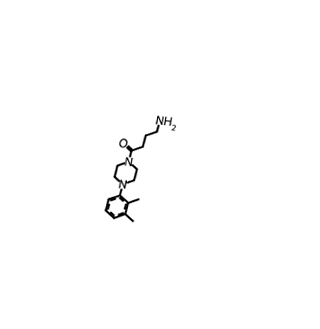 Cc1cccc(N2CCN(C(=O)CCCN)CC2)c1C